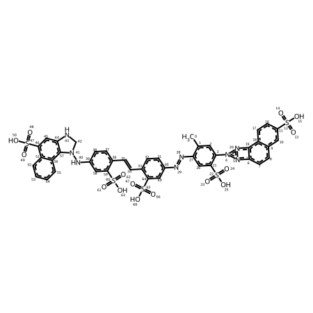 Cc1cc(-n2n3c4ccc5cc(S(=O)(=O)O)ccc5c4n23)c(S(=O)(=O)O)cc1N=Nc1ccc(C=Cc2ccc(NN3CNc4cc(S(=O)(=O)O)c5ccccc5c43)cc2S(=O)(=O)O)c(S(=O)(=O)O)c1